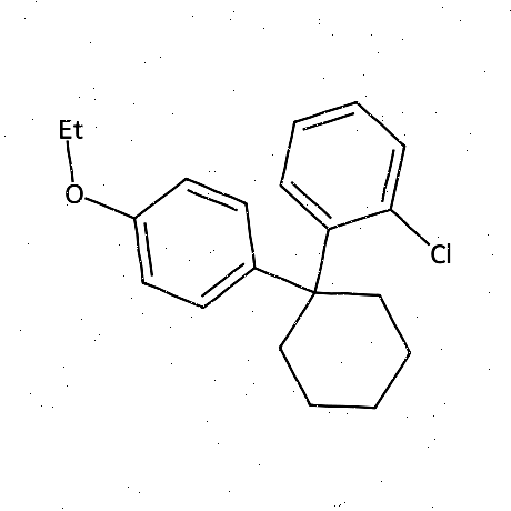 CCOc1ccc(C2(c3ccccc3Cl)CCCCC2)cc1